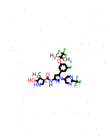 C[C@H]1C(O)NC[C@@H]1C(=O)Nc1cc(-c2cc(F)cc(OC(C)(C)C(F)(F)F)c2)n(-c2cnc(C(F)(F)F)nc2)n1